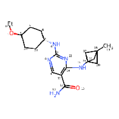 CCO[C@H]1CC[C@H](Nc2ncc(C(N)=O)c(NC34CC(C)(C3)C4)n2)CC1